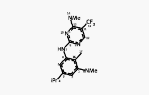 CNc1cc(C(C)C)cc(Nc2ncc(C(F)(F)F)c(NC)n2)c1C